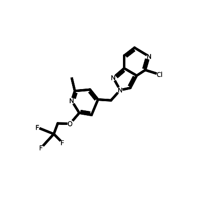 Cc1cc(Cn2cc3c(Cl)nccc3n2)cc(OCC(F)(F)F)n1